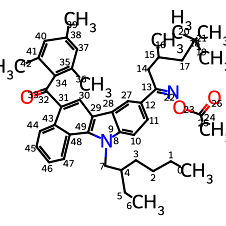 CCCCC(CC)Cn1c2ccc(/C(CC(C)CC(C)(C)C)=N\OC(C)=O)cc2c2cc(C(=O)c3c(C)cc(C)cc3C)c3ccccc3c21